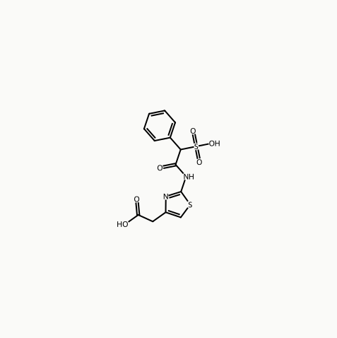 O=C(O)Cc1csc(NC(=O)C(c2ccccc2)S(=O)(=O)O)n1